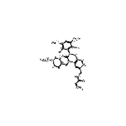 C=CC(=O)NCc1cc2c(cn1)CN(c1c(F)c(OC)cc(OC)c1F)C(=O)N2CC1CCN(C(=O)O)CC1